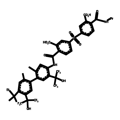 CCC(C)(C)c1cc(C)c(-c2cc(C(O)(C(F)(F)F)C(F)(F)F)c(NC(=O)c3ccc(S(=O)(=O)c4ccc(C(=O)NC(C)C)c(C(=O)O)c4)cc3C(=O)O)cc2C)cc1C(O)(C(F)(F)F)C(F)(F)F